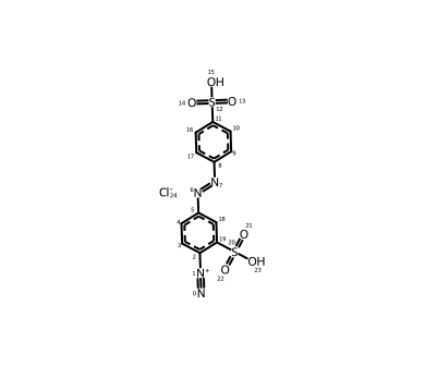 N#[N+]c1ccc(N=Nc2ccc(S(=O)(=O)O)cc2)cc1S(=O)(=O)O.[Cl-]